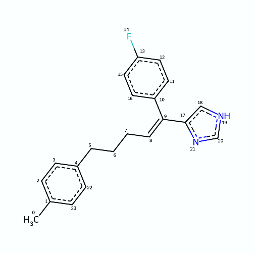 Cc1ccc(CCC/C=C(\c2ccc(F)cc2)c2c[nH]cn2)cc1